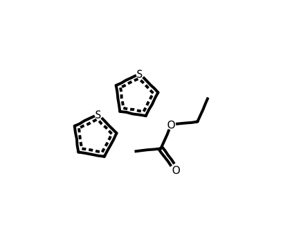 CCOC(C)=O.c1ccsc1.c1ccsc1